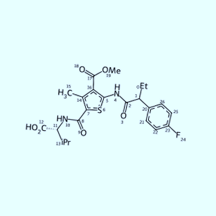 CCC(C(=O)Nc1sc(C(=O)N[C@@H](C(=O)O)C(C)C)c(C)c1C(=O)OC)c1ccc(F)cc1